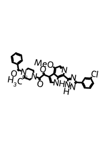 COc1cnc(-c2nc(-c3cccc(Cl)c3)n[nH]2)c2[nH]cc(C(=O)C(=O)N3CCN(C(=O)c4ccccc4)[C@H](C)C3)c12